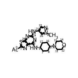 CC(=O)c1nc2c(N[C@H]3CC[C@H](N4CCOCC4)CC3)nc(Nc3cnn(C)c3)nc2s1